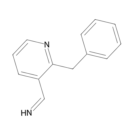 N=Cc1cccnc1Cc1ccccc1